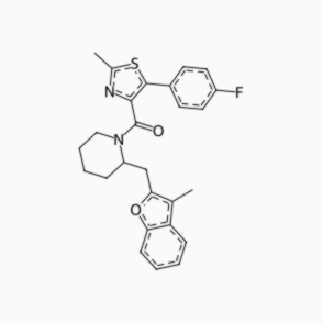 Cc1nc(C(=O)N2CCCCC2Cc2oc3ccccc3c2C)c(-c2ccc(F)cc2)s1